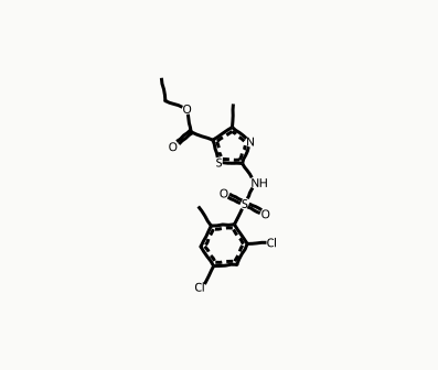 CCOC(=O)c1sc(NS(=O)(=O)c2c(C)cc(Cl)cc2Cl)nc1C